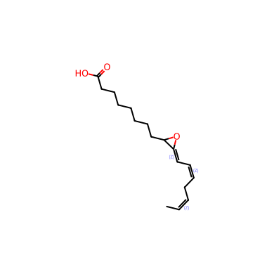 C/C=C\C/C=C\C=C1/OC1CCCCCCCC(=O)O